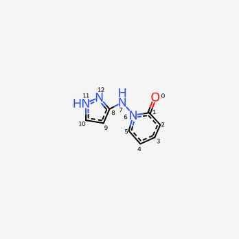 O=c1ccccn1Nc1cc[nH]n1